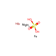 Br.O=S(=O)(O)O.[Fe].[MgH2]